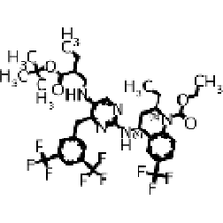 CCOC(=O)N1c2ccc(C(F)(F)F)cc2[C@@H](Nc2ncc(NCC(CC)C(=O)OC(C)(C)C)c(Cc3cc(C(F)(F)F)cc(C(F)(F)F)c3)n2)C[C@H]1CC